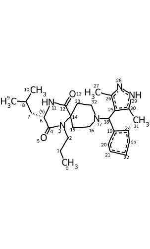 CCCN1C(=O)[C@H](CC(C)C)NC(=O)C12CCN(C(c1ccccc1)c1c(C)n[nH]c1C)CC2